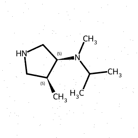 CC(C)N(C)[C@@H]1CNC[C@@H]1C